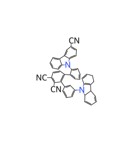 N#Cc1ccc2c(c1)c1ccccc1n2-c1ccccc1-c1ccc(C#N)c(C#N)c1-c1cccc(N2C3=C(CCC=C3)C3C=CC=CC32)c1